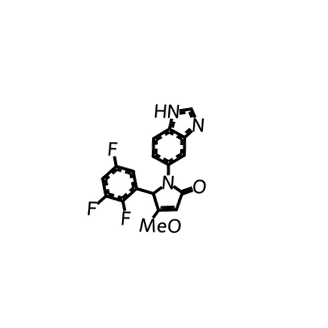 COC1=CC(=O)N(c2ccc3[nH]cnc3c2)C1c1cc(F)cc(F)c1F